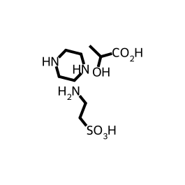 C1CNCCN1.CC(O)C(=O)O.NCCS(=O)(=O)O